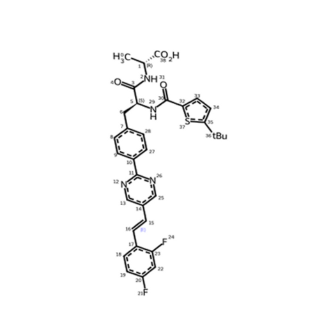 C[C@@H](NC(=O)[C@H](Cc1ccc(-c2ncc(/C=C/c3ccc(F)cc3F)cn2)cc1)NC(=O)c1ccc(C(C)(C)C)s1)C(=O)O